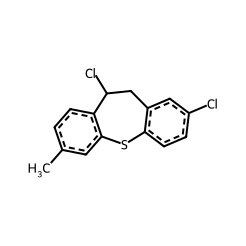 Cc1ccc2c(c1)Sc1ccc(Cl)cc1CC2Cl